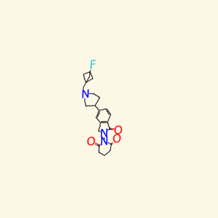 O=C1c2ccc(C3CCN(CC45CC(F)(C4)C5)CC3)cc2CN1N1C(=O)CCCC1=O